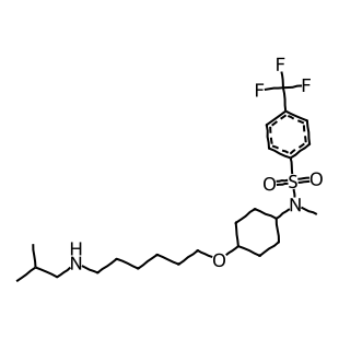 CC(C)CNCCCCCCOC1CCC(N(C)S(=O)(=O)c2ccc(C(F)(F)F)cc2)CC1